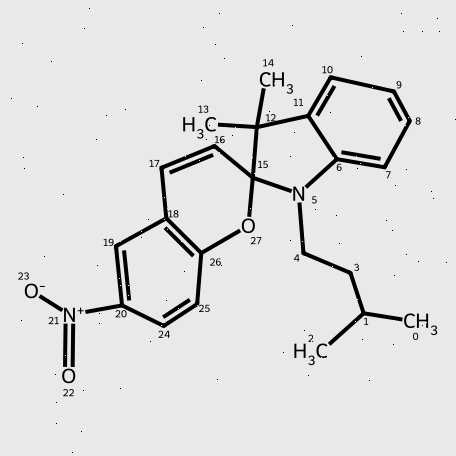 CC(C)CCN1c2ccccc2C(C)(C)C12C=Cc1cc([N+](=O)[O-])ccc1O2